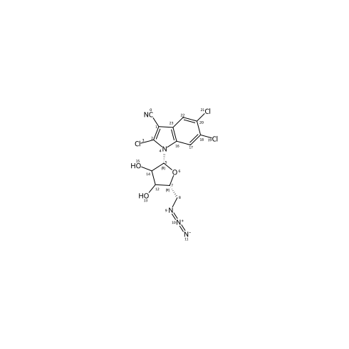 N#Cc1c(Cl)n([C@@H]2O[C@H](CN=[N+]=[N-])C(O)C2O)c2cc(Cl)c(Cl)cc12